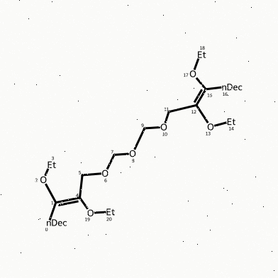 CCCCCCCCCCC(OCC)=C(COCOCOCC(OCC)=C(CCCCCCCCCC)OCC)OCC